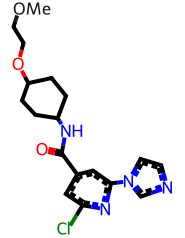 COCCOC1CCC(NC(=O)c2cc(Cl)nc(-n3ccnc3)c2)CC1